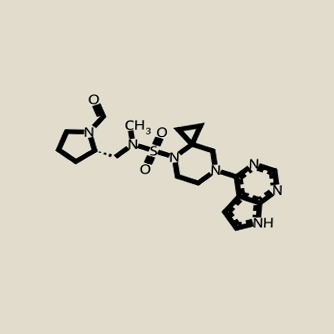 CN(C[C@@H]1CCCN1C=O)S(=O)(=O)N1CCN(c2ncnc3[nH]ccc23)CC12CC2